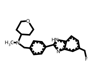 CN(Cc1ccc(-c2nc3cc(CF)ccc3[nH]2)cc1)C1CCOCC1